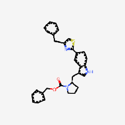 O=C(OCc1ccccc1)N1CCC[C@@H]1Cc1c[nH]c2ccc(-c3nc(Cc4ccccc4)cs3)cc12